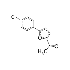 CC(=O)c1ccc(-c2ccc(Cl)cc2)o1